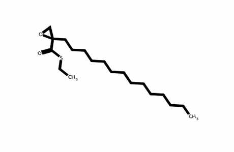 CCCCCCCCCCCCCCC1(C(=O)SCC)CO1